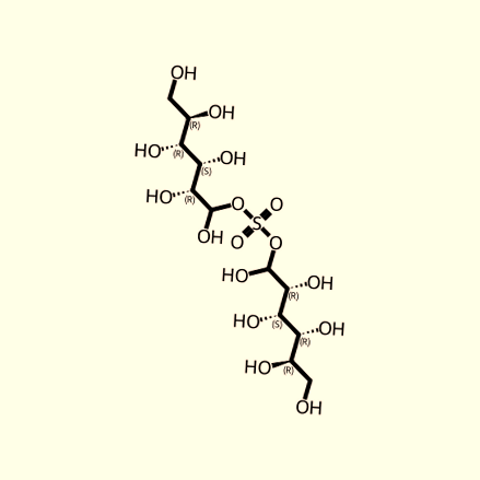 O=S(=O)(OC(O)[C@H](O)[C@@H](O)[C@H](O)[C@H](O)CO)OC(O)[C@H](O)[C@@H](O)[C@H](O)[C@H](O)CO